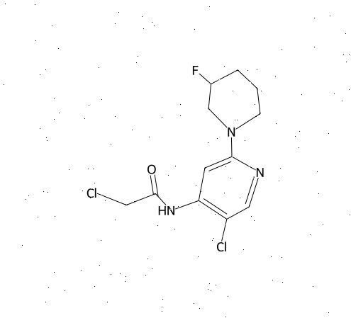 O=C(CCl)Nc1cc(N2CCCC(F)C2)ncc1Cl